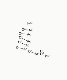 CC(=O)[O-].CC(=O)[O-].CC(=O)[O-].CC(=O)[O-].CC(=O)[O-].CC(=O)[O-].O.[Pr+3].[Pr+3]